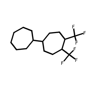 FC(F)(F)C1CCC(C2CCCCCC2)CCC1C(F)(F)F